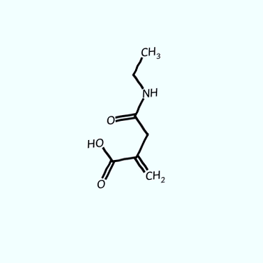 C=C(CC(=O)NCC)C(=O)O